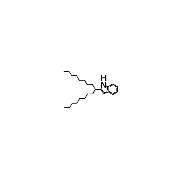 CCCCCCCCC(CCCCCCCC)c1cc2ccccc2[nH]1